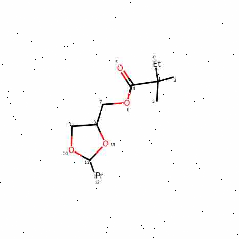 CCC(C)(C)C(=O)OCC1COC(C(C)C)O1